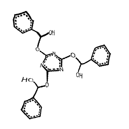 OC(Oc1nc(OC(O)c2ccccc2)nc(OC(O)c2ccccc2)n1)c1ccccc1